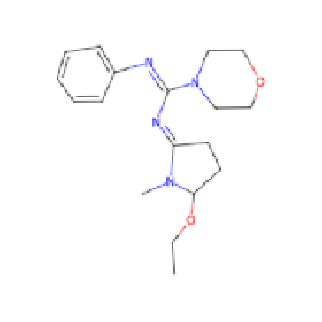 CCOC1CCC(=NC(=Nc2ccccc2)N2CCOCC2)N1C